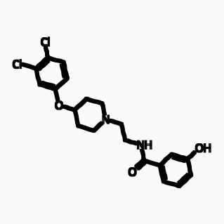 O=C(NCCN1CCC(Oc2ccc(Cl)c(Cl)c2)CC1)c1cccc(O)c1